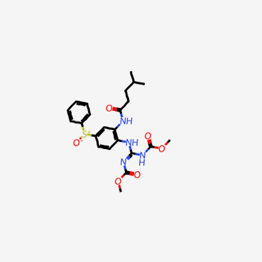 COC(=O)N=C(NC(=O)OC)Nc1ccc([S+]([O-])c2ccccc2)cc1NC(=O)CCC(C)C